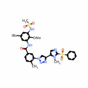 COc1c(NC(=O)c2ccc(C)c(-n3cc(-c4cnc(S(=O)(=O)c5ccccc5)n4C)nn3)c2)cc(C(C)(C)C)cc1NS(C)(=O)=O